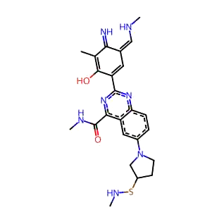 CN/C=C1/C=C(c2nc(C(=O)NC)c3cc(N4CCC(SNC)C4)ccc3n2)C(O)=C(C)C1=N